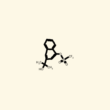 CC(C)(O)c1cc(OS(=O)(=O)C(F)(F)F)c2ccccc2c1